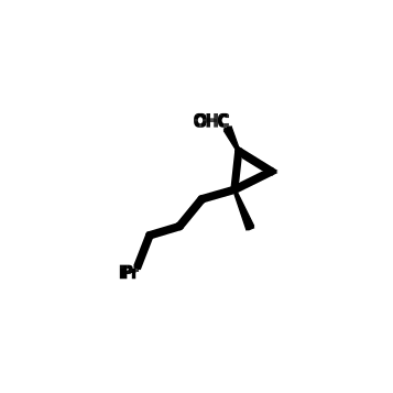 CC(C)CCC[C@@]1(C)C[C@@H]1C=O